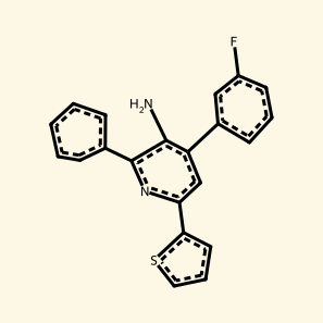 Nc1c(-c2cccc(F)c2)cc(-c2cccs2)nc1-c1ccccc1